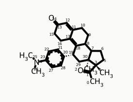 CC(=O)[C@@]1(C)CCC2C3CCC4=CC(=O)CCC4=C3[C@@H](c3ccc(N(C)C)cc3)C[C@@]21C